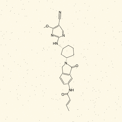 CC=CC(=O)Nc1ccc2c(c1)C(=O)N([C@H]1CCC[C@@H](Nc3ncc(C#N)c(OC)n3)C1)C2